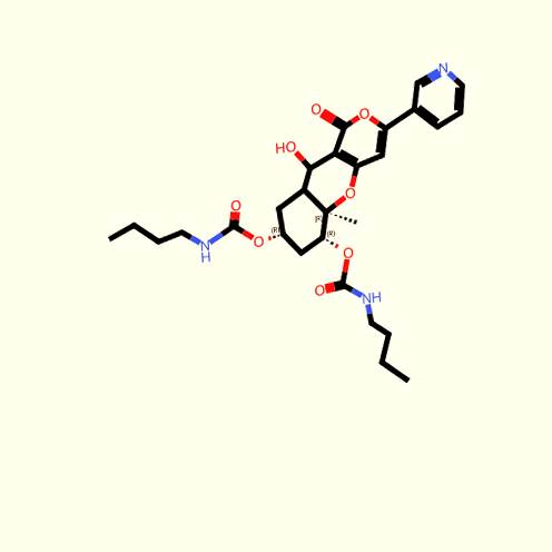 CCCCNC(=O)O[C@@H]1CC2C(O)c3c(cc(-c4cccnc4)oc3=O)O[C@@]2(C)[C@H](OC(=O)NCCCC)C1